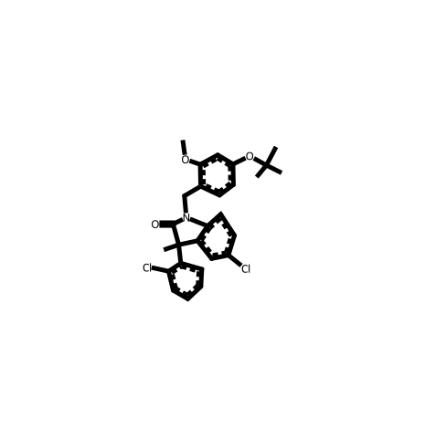 COc1cc(OC(C)(C)C)ccc1CN1C(=O)C(C)(c2ccccc2Cl)c2cc(Cl)ccc21